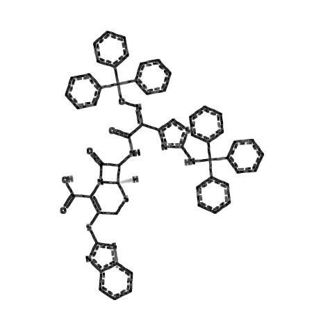 O=C(O)C1=C(Sc2nc3ccccc3s2)CS[C@@H]2C(NC(=O)/C(=N\OC(c3ccccc3)(c3ccccc3)c3ccccc3)c3csc(NC(c4ccccc4)(c4ccccc4)c4ccccc4)n3)C(=O)N12